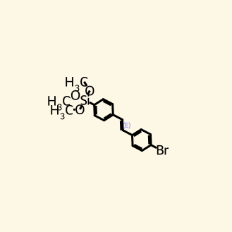 CO[Si](OC)(OC)c1ccc(/C=C/c2ccc(Br)cc2)cc1